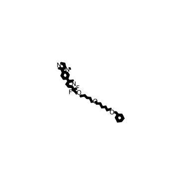 Cn1c2ccncc2c2ccc(-c3ccc(C(F)(F)COCCCCCOCCCCCCOCc4ccccc4)nc3)cc21